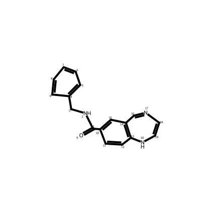 O=C(NCc1ccccc1)c1ccc2c(c1)C=NC=CN2